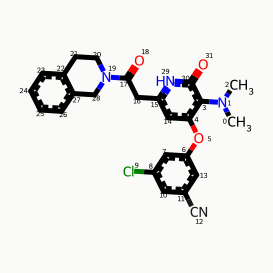 CN(C)c1c(Oc2cc(Cl)cc(C#N)c2)cc(CC(=O)N2CCc3ccccc3C2)[nH]c1=O